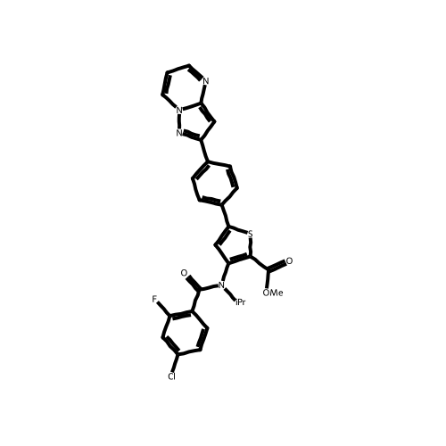 COC(=O)c1sc(-c2ccc(-c3cc4ncccn4n3)cc2)cc1N(C(=O)c1ccc(Cl)cc1F)C(C)C